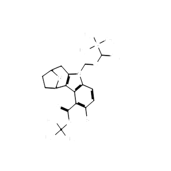 CC(OCn1c2c(c3c(C(=O)OC(C)(C)C)c(Br)ccc31)C1CCC(C2)N1)[Si](C)(C)C